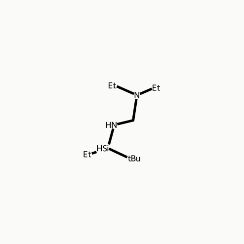 CCN(CC)CN[SiH](CC)C(C)(C)C